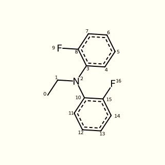 CCN(c1ccccc1F)c1ccccc1F